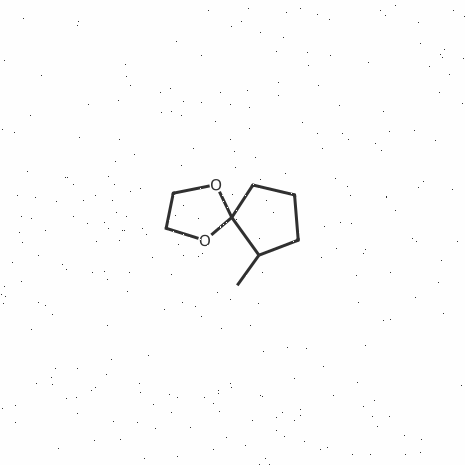 CC1CCCC12OCCO2